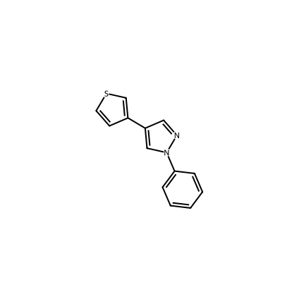 c1ccc(-n2cc(-c3ccsc3)cn2)cc1